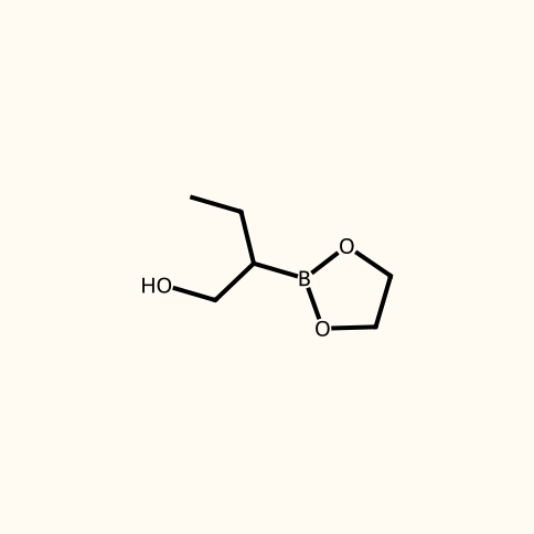 CCC(CO)B1OCCO1